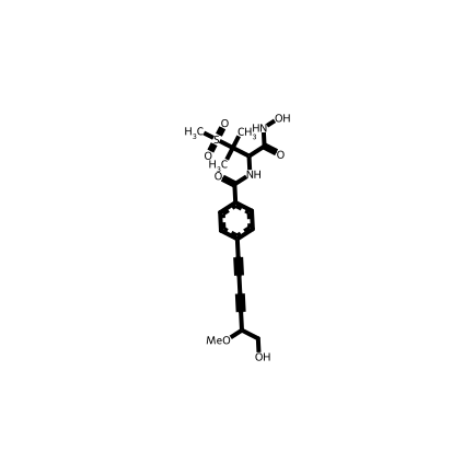 COC(C#CC#Cc1ccc(C(=O)NC(C(=O)NO)C(C)(C)S(C)(=O)=O)cc1)CO